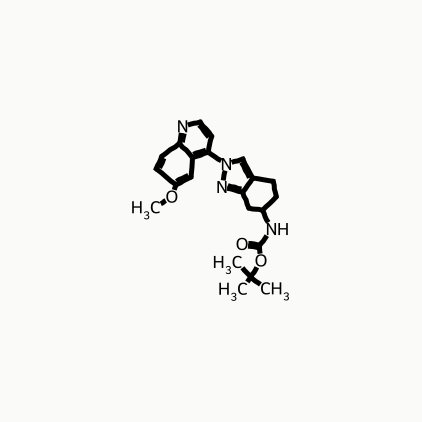 COc1ccc2nccc(-n3cc4c(n3)CC(NC(=O)OC(C)(C)C)CC4)c2c1